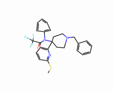 CSc1cccc(C2(N(C(=O)C(F)(F)F)c3ccccc3)CCN(Cc3ccccc3)CC2)n1